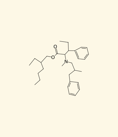 CCCCC(CC)COC(=O)C(C(CC)c1ccccc1)N(C)CC(C)Cc1ccccc1